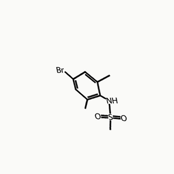 Cc1cc(Br)cc(C)c1NS(C)(=O)=O